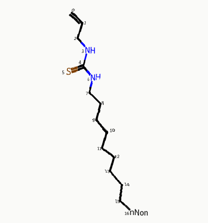 C=CCNC(=S)NCCCCCCCCCCCCCCCCCC